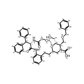 COC(=O)N[C@H](C(=O)Nc1ccccc1CC[C@@H]1CN(C(=O)O)[C@H](COCc2ccccc2)[C@@H](CO)O1)C(c1ccccc1)c1ccccc1